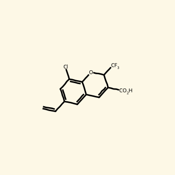 C=Cc1cc(Cl)c2c(c1)C=C(C(=O)O)C(C(F)(F)F)O2